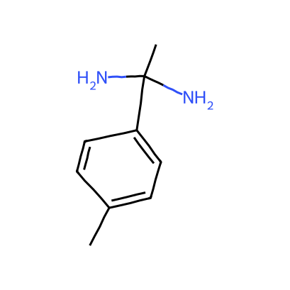 Cc1ccc(C(C)(N)N)cc1